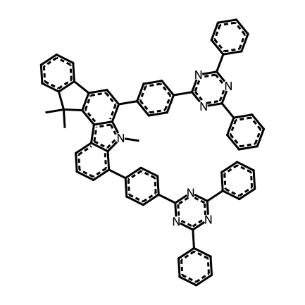 Cn1c2c(-c3ccc(-c4nc(-c5ccccc5)nc(-c5ccccc5)n4)cc3)cccc2c2c3c(cc(-c4ccc(-c5nc(-c6ccccc6)nc(-c6ccccc6)n5)cc4)c21)-c1ccccc1C3(C)C